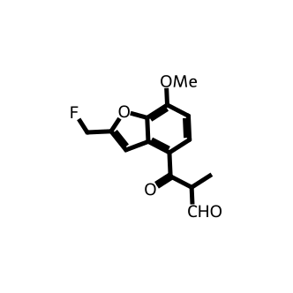 COc1ccc(C(=O)C(C)C=O)c2cc(CF)oc12